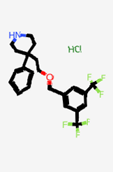 Cl.FC(F)(F)c1cc(COCCC2(c3ccccc3)CCNCC2)cc(C(F)(F)F)c1